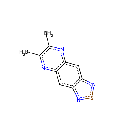 Bc1nc2cc3nsnc3cc2nc1B